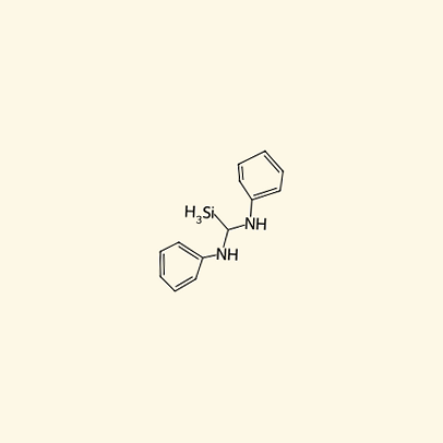 [SiH3]C(Nc1ccccc1)Nc1ccccc1